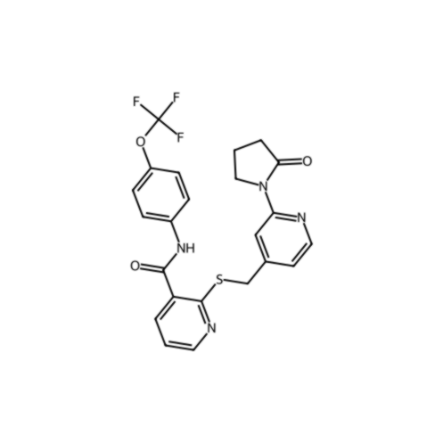 O=C(Nc1ccc(OC(F)(F)F)cc1)c1cccnc1SCc1ccnc(N2CCCC2=O)c1